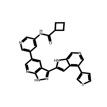 O=C(Nc1cncc(-c2cnc3[nH]nc(-c4cc5c(-c6ccsc6)cncc5[nH]4)c3c2)c1)C1CCC1